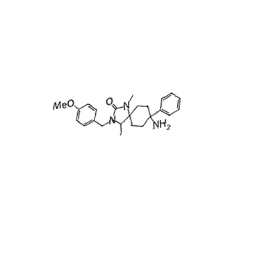 COc1ccc(CN2C(=O)N(C)C3(CCC(N)(c4ccccc4)CC3)C2C)cc1